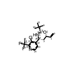 C=CCC[C@@H](N[S@@+]([O-])C(C)(C)C)c1ccnc(C(F)(F)F)c1Cl